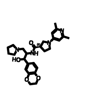 Cc1cc(N2CC[C@@H](C(=O)NC(CN3CCCC3)C(O)c3ccc4c(c3)OCCO4)C2)cc(C)n1